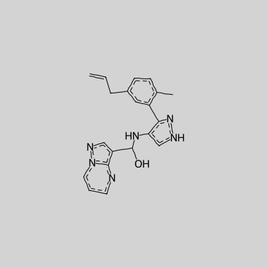 C=CCc1ccc(C)c(-c2n[nH]cc2NC(O)c2cnn3cccnc23)c1